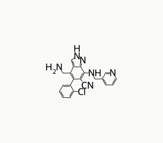 N#Cc1c(-c2ccccc2Cl)c(CN)c2c[nH]nc2c1NCc1cccnc1